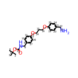 CC(C)(C)OC(=O)NCc1ccc(OCCCOc2ccc(CN)cc2)cc1